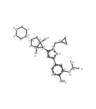 Nc1ncc(-c2cc([C@H]3[C@@H]4C[C@H](N5CCOCC5)C[C@@H]43)n(CC3CC3)n2)cc1OC(F)F